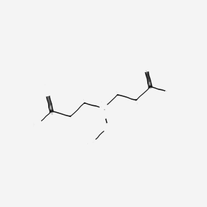 O=C(O)CC[SiH](CCC(=O)O)O[SiH3]